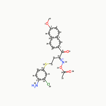 COc1ccc2cc(C(=O)/C(CCSc3ccc(N)c(Cl)c3)=N/OC(C)=O)ccc2c1